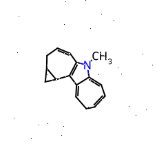 Cn1c2c(c3c1=CC=CCC=3)C1CC1CC=C2